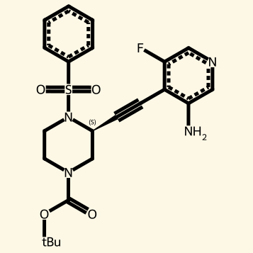 CC(C)(C)OC(=O)N1CCN(S(=O)(=O)c2ccccc2)[C@@H](C#Cc2c(N)cncc2F)C1